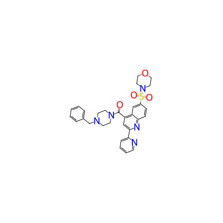 O=C(c1cc(-c2ccccn2)nc2ccc(S(=O)(=O)N3CCOCC3)cc12)N1CCN(Cc2ccccc2)CC1